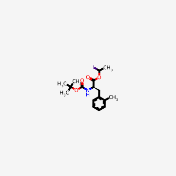 Cc1ccccc1C[C@@H](NC(=O)OC(C)(C)C)C(=O)OC(C)I